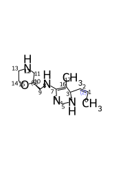 C/C=C\C1NC=NC(NC[C@@H]2CNCCO2)=C1C